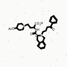 CC(=O)OC1CCN(CCC(NC(=O)[C@@H]2Cc3ccccc3CN2CCCC(=O)c2ccccc2)C(=O)O)CC1